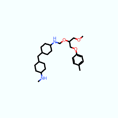 CNC1CCC(CC2CCC(NCOC(COC)COc3ccc(C)cc3)CC2)CC1